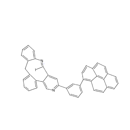 I/C1=N\c2ccccc2Cc2ccccc2-c2cnc(-c3cccc(-c4ccc5ccc6cccc7ccc4c5c67)c3)cc21